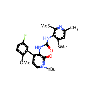 CCCCn1ccc(-c2cc(F)ccc2OC)c(NC(=O)Nc2c(SC)cc(C)nc2SC)c1=O